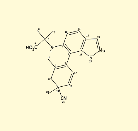 CC1=C(c2c(SC(C)(C)C(=O)O)ccc3cnsc23)C=CC(C)(C#N)C1